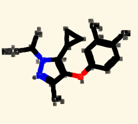 CCC(C(=O)O)n1nc(C)c(Oc2ccc(C#N)c(C)c2)c1C1CC1